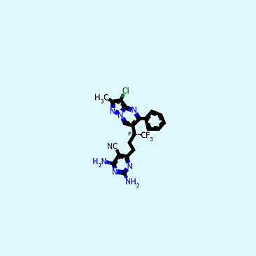 Cc1nn2cc([C@@H](CCc3nc(N)nc(N)c3C#N)C(F)(F)F)c(-c3ccccc3)nc2c1Cl